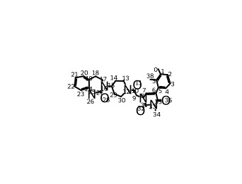 Cc1cccc(-c2cn(CC(=O)N3CCC(N4CCc5ccccc5N(C)C4=O)CC3)c(=O)n(C)c2=O)c1C